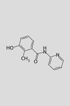 Cc1c(O)cccc1C(=O)Nc1ccccn1